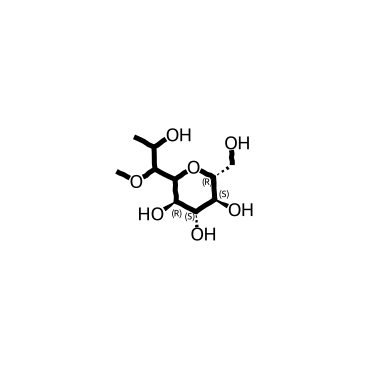 COC(C(C)O)C1O[C@H](CO)[C@@H](O)[C@H](O)[C@H]1O